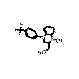 CN1c2ncccc2N(c2ccc(C(F)(F)F)cc2)CC1CO